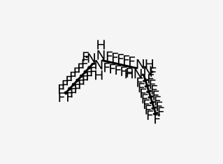 N=C(NC(=NF)C(F)(F)C(F)(F)C(F)(F)C(F)(F)C(F)(F)C(F)(F)C(F)(F)F)C(F)(F)C(F)(F)C(F)(F)C(F)(F)C(F)(F)C(=N)NC(=NF)C(F)(F)C(F)(F)C(F)(F)C(F)(F)C(F)(F)C(F)(F)C(F)(F)F